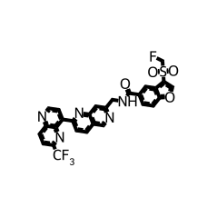 O=C(NCc1cc2nc(-c3ccnc4ccc(C(F)(F)F)nc34)ccc2cn1)c1ccc2occ(S(=O)(=O)CF)c2c1